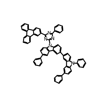 c1ccc(-c2ccc3c(c2)c2cc(-c4ccc5c(c4)c4cc(-c6ccccc6)ccc4n5-c4nc(-c5ccccc5)nc(-c5ccc6c7ccccc7c7ccccc7c6c5)n4)ccc2n3-c2ccccc2)cc1